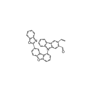 C=Cc1cc2c3ccccc3n(-c3cccc4oc5ccc(-c6nc7ccccc7o6)cc5c34)c2cc1C=O